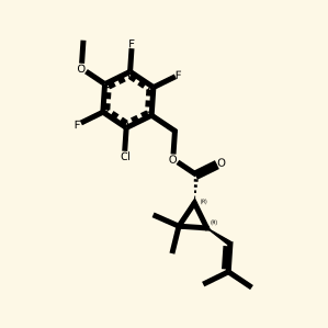 COc1c(F)c(F)c(COC(=O)[C@@H]2[C@@H](C=C(C)C)C2(C)C)c(Cl)c1F